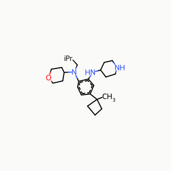 CC(C)CN(c1ccc(C2(C)CCC2)cc1NC1CCNCC1)C1CCOCC1